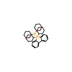 c1ccc2c(c1)-c1ccccc1P2(C1CCCCC1)(C1CCCCC1)P(C1CCCCC1)C1CCCCC1